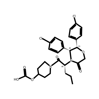 CCC[C@H](C(=O)N1CCC(OC(=O)O)CC1)N1C(=O)CO[C@@H](c2ccc(Cl)cc2)[C@H]1c1ccc(Cl)cc1